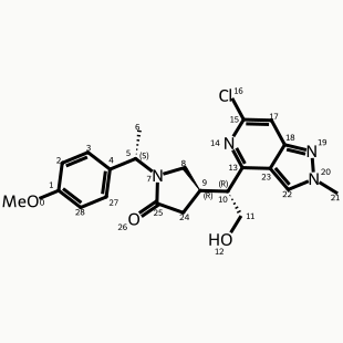 COc1ccc([C@H](C)N2C[C@@H]([C@@H](CO)c3nc(Cl)cc4nn(C)cc34)CC2=O)cc1